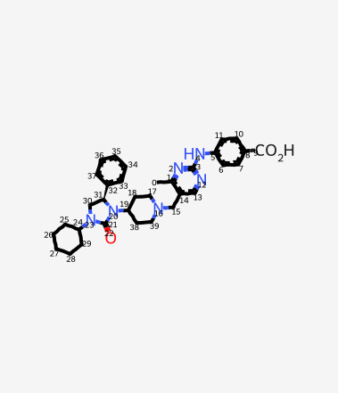 Cc1nc(Nc2ccc(C(=O)O)cc2)ncc1CN1CCC(N2C(=O)N(C3CCCCC3)C[C@H]2c2ccccc2)CC1